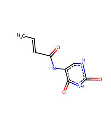 CC=CC(=O)Nc1c[nH]c(=O)[nH]c1=O